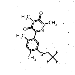 Cc1cc(C)c(-c2nn(C)c(=O)n(C)c2=O)cc1SCC(F)(F)F